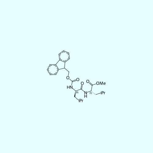 COC(=O)[C@H](CC(C)C)NC(=O)[C@@H](CC(C)C)NC(=O)OCC1c2ccccc2-c2ccccc21